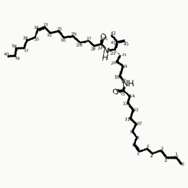 CCCCCC/C=C\CCCCCCCC(=O)NCCCC[C@H](NC(=O)CCCCCCC/C=C\CCCCCC)C(C)C